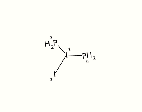 PI(P)I